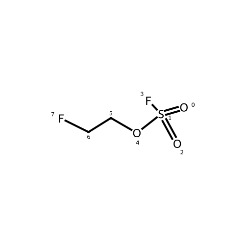 O=S(=O)(F)OCCF